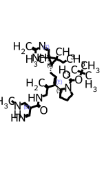 C=C(N)/N=C\[C@@]1(C)[C@@H](C/C=C(\C(=C)CNC(=O)/C(C=N)=C/NC)[C@@H]2CCCN2C(=O)OC(C)(C)C)C1(C)CC